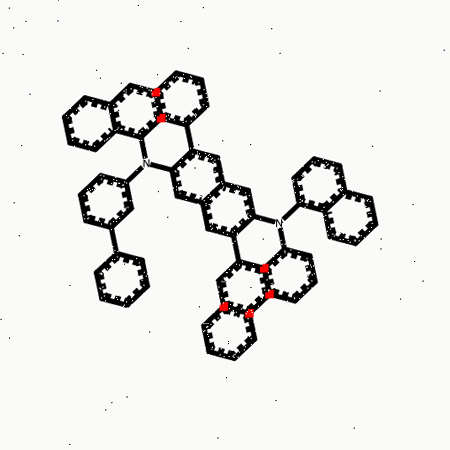 c1ccc(-c2cccc(N(c3cc4cc(-c5ccccc5)c(N(c5cccc(-c6ccccc6)c5)c5cccc6ccccc56)cc4cc3-c3ccccc3)c3cccc4ccccc34)c2)cc1